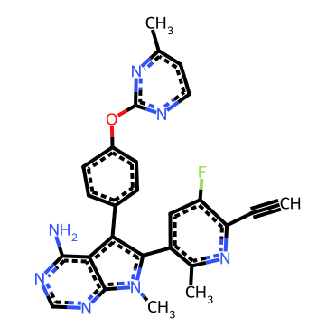 C#Cc1nc(C)c(-c2c(-c3ccc(Oc4nccc(C)n4)cc3)c3c(N)ncnc3n2C)cc1F